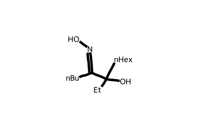 CCCCCCC(O)(CC)C(CCCC)=NO